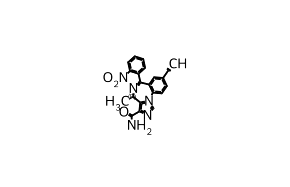 C#Cc1ccc2c(c1)C(c1ccccc1[N+](=O)[O-])=N[C@H](C)c1c(C(N)=O)ncn1-2